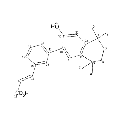 CC1(C)CCC(C)(C)c2cc(-c3cccc(C=CC(=O)O)c3)c(O)cc21